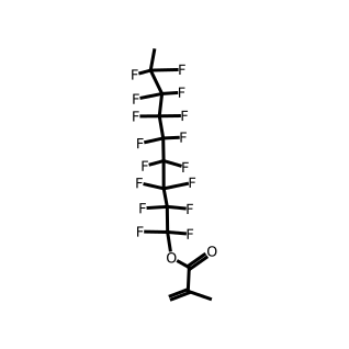 C=C(C)C(=O)OC(F)(F)C(F)(F)C(F)(F)C(F)(F)C(F)(F)C(F)(F)C(F)(F)C(C)(F)F